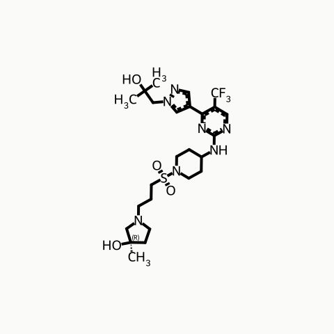 CC(C)(O)Cn1cc(-c2nc(NC3CCN(S(=O)(=O)CCCN4CC[C@@](C)(O)C4)CC3)ncc2C(F)(F)F)cn1